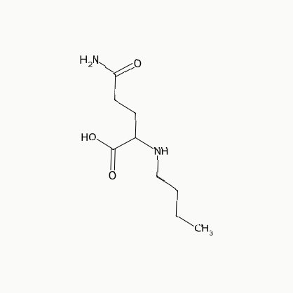 CCCCNC(CCC(N)=O)C(=O)O